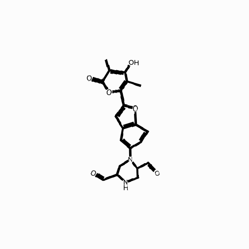 Cc1c(-c2cc3cc(N4CC(C=O)NCC4C=O)ccc3o2)oc(=O)c(C)c1O